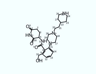 O=C1CCC(NC(=O)c2c(CO)cccc2N2CCN(CCC3CCNCC3)CC2)C(=O)N1